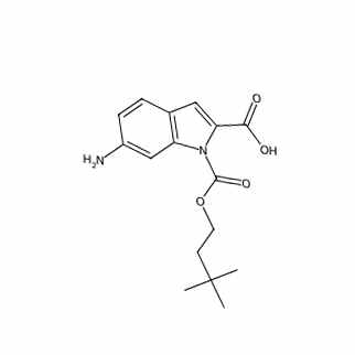 CC(C)(C)CCOC(=O)n1c(C(=O)O)cc2ccc(N)cc21